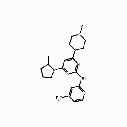 CC(=O)N1CCC(c2cc(N3CCCC3C)nc(Nc3cc(C(F)(F)F)ccn3)n2)CC1